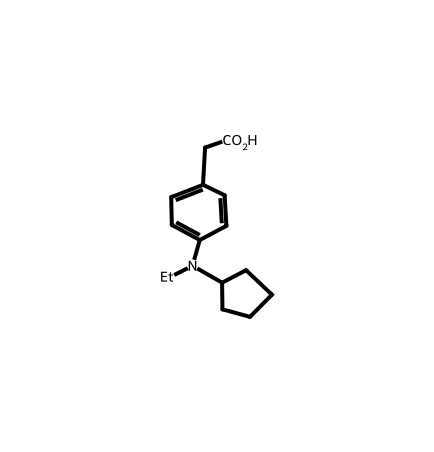 CCN(c1ccc(CC(=O)O)cc1)C1CCCC1